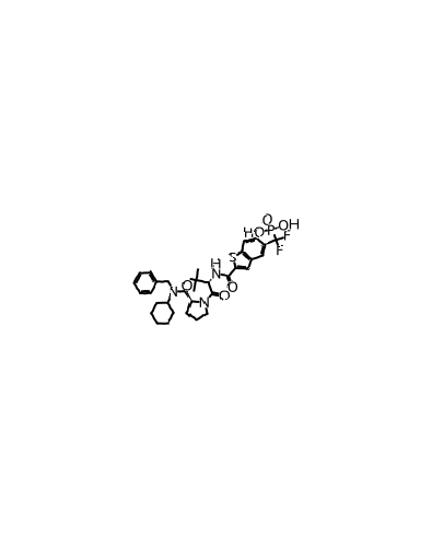 CC(C)(C)[C@H](NC(=O)c1cc2cc(C(F)(F)P(=O)(O)O)ccc2s1)C(=O)N1CCC[C@H]1C(=O)N(Cc1ccccc1)C1CCCCC1